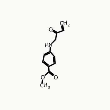 C=CC(=O)CNc1ccc(C(=O)OC)cc1